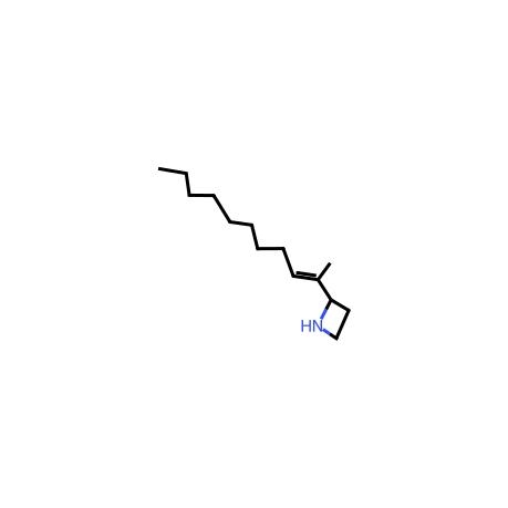 CCCCCCCCC=C(C)C1CCN1